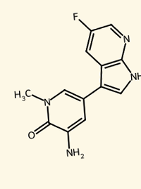 Cn1cc(-c2c[nH]c3ncc(F)cc23)cc(N)c1=O